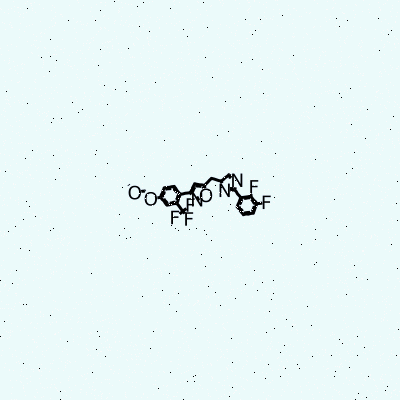 COCOc1ccc(-c2cc(CC3C=NC(c4cccc(F)c4F)=N3)on2)c(C(F)(F)F)c1